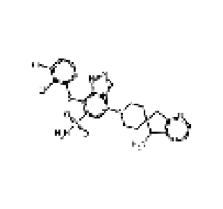 NC1c2cccnc2CC12CCN(c1cc(S(N)(=O)=O)c(Sc3cccc(Cl)c3Cl)c3nncn13)CC2